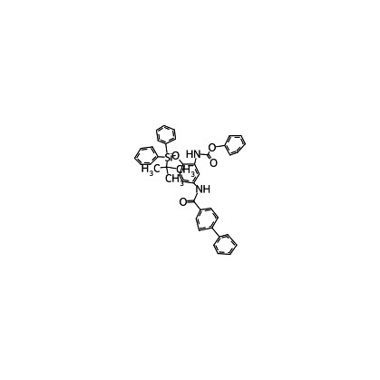 CC(C)(C)[Si](Oc1ccc(NC(=O)c2ccc(-c3ccccc3)cc2)cc1NC(=O)Oc1ccccc1)(c1ccccc1)c1ccccc1